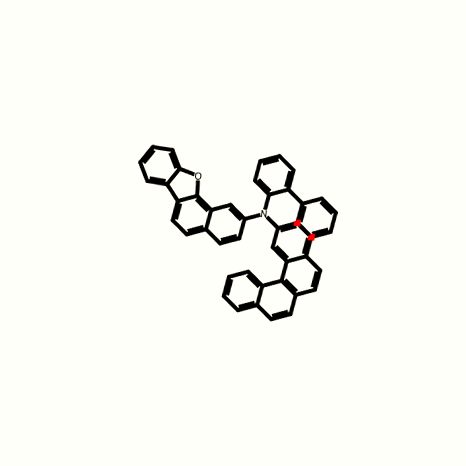 c1ccc(-c2ccccc2N(c2ccc3ccc4c5ccccc5oc4c3c2)c2ccc3ccc4ccc5ccccc5c4c3c2)cc1